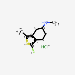 CNC1CCc2c(F)sc(C)c2C1.Cl